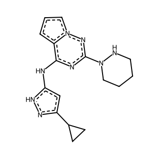 c1cc2c(Nc3cc(C4CC4)n[nH]3)nc(N3CCCCN3)nn2c1